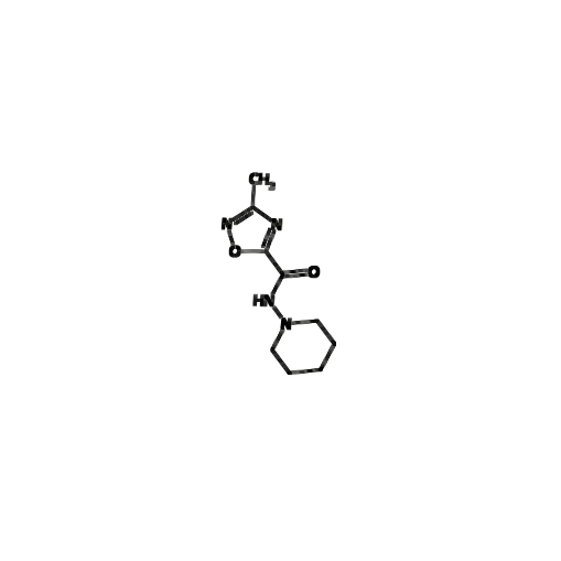 Cc1noc(C(=O)NN2CCCCC2)n1